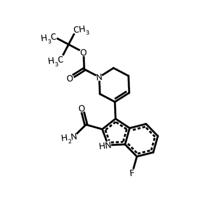 CC(C)(C)OC(=O)N1CCC=C(c2c(C(N)=O)[nH]c3c(F)cccc23)C1